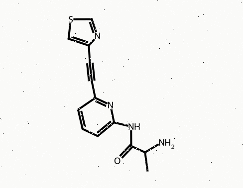 CC(N)C(=O)Nc1cccc(C#Cc2cscn2)n1